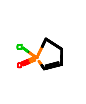 O=P1(Cl)C=CCC1